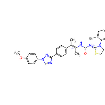 CCc1ccccc1N1CCS/C1=N\C(=O)N/C(C)=C(\C)c1ccc(-c2ncn(-c3ccc(OC(F)(F)F)cc3)n2)cc1